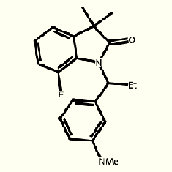 CCC(c1cccc(NC)c1)N1C(=O)C(C)(C)c2cccc(F)c21